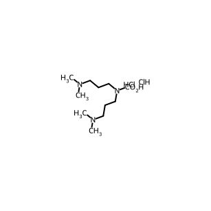 CN(C)CCCN(CCCN(C)C)C(=O)O.Cl.Cl